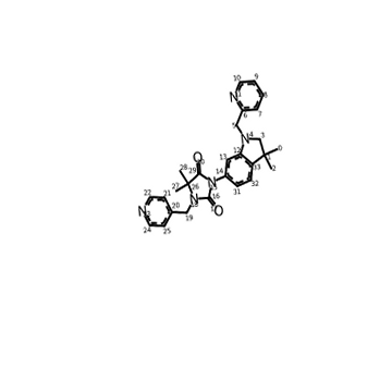 CC1(C)CN(Cc2ccccn2)c2cc(N3C(=O)N(Cc4ccncc4)C(C)(C)C3=O)ccc21